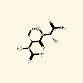 CCCC(=O)N(C)[C@H](CO)C(=O)N(C)[C@H](C(N)=O)C(C)CC